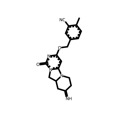 Cc1ccc(COc2cc3n(c(=O)n2)CC2CC(=N)CCN32)cc1C#N